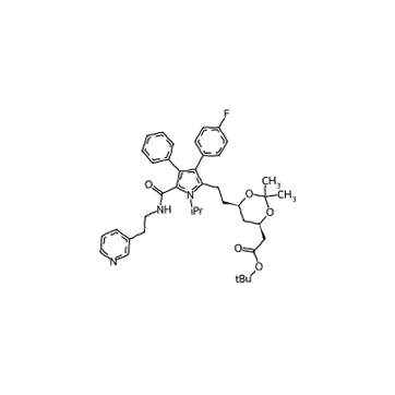 CC(C)n1c(CC[C@@H]2C[C@H](CC(=O)OC(C)(C)C)OC(C)(C)O2)c(-c2ccc(F)cc2)c(-c2ccccc2)c1C(=O)NCCc1cccnc1